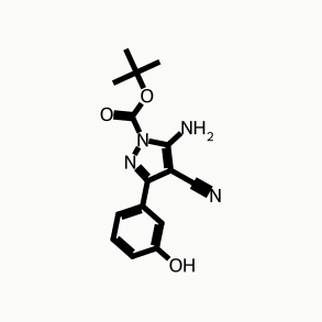 CC(C)(C)OC(=O)n1nc(-c2cccc(O)c2)c(C#N)c1N